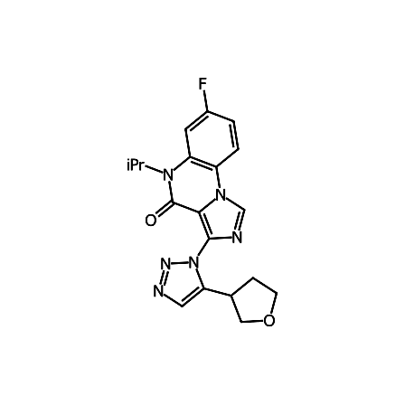 CC(C)n1c(=O)c2c(-n3nncc3C3CCOC3)ncn2c2ccc(F)cc21